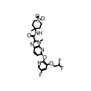 Cn1c(C(=O)NC2(C)CCS(=O)(=O)CC2)nc2ccc(Oc3ncc(F)cc3OCC(F)F)nc21